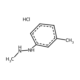 CNNc1cccc(C)c1.Cl